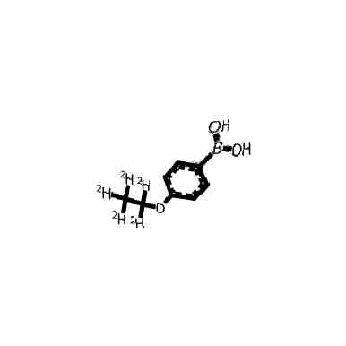 [2H]C([2H])([2H])C([2H])([2H])Oc1ccc(B(O)O)cc1